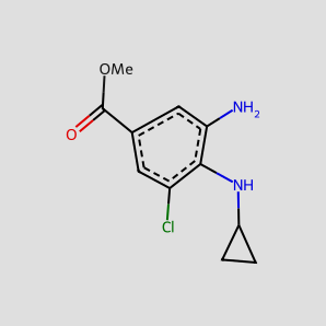 COC(=O)c1cc(N)c(NC2CC2)c(Cl)c1